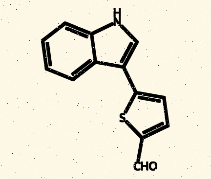 O=Cc1ccc(-c2c[nH]c3ccccc23)s1